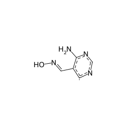 Nc1ncn[c]c1C=NO